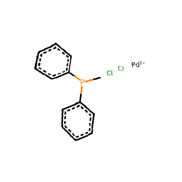 CP(c1ccccc1)c1ccccc1.[Cl-].[Cl-].[Pd+2]